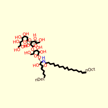 CCCCCCCC/C=C\CCCCCCCCCCCCCCCC(=O)N[C@@H](CO[C@@H]1OC(CO)[C@@H](O[C@@H]2OC(CO)[C@H](O)[C@H](O[C@]3(C(=O)O)CC(O)[C@@H](O)C([C@H](O)[C@H](O)CO)O3)C2O)[C@H](O)C1O)[C@H](O)/C=C/CCCCCCCCCCCCC